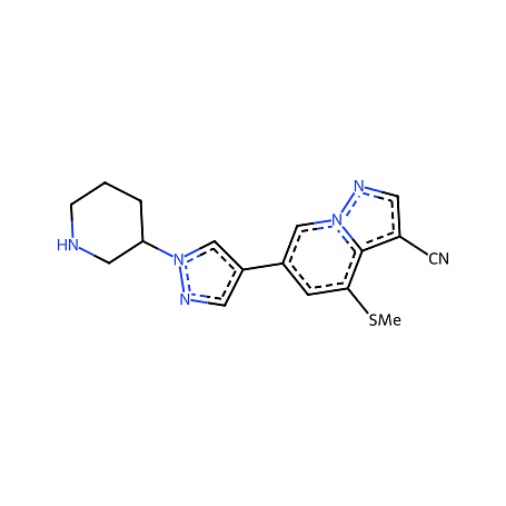 CSc1cc(-c2cnn(C3CCCNC3)c2)cn2ncc(C#N)c12